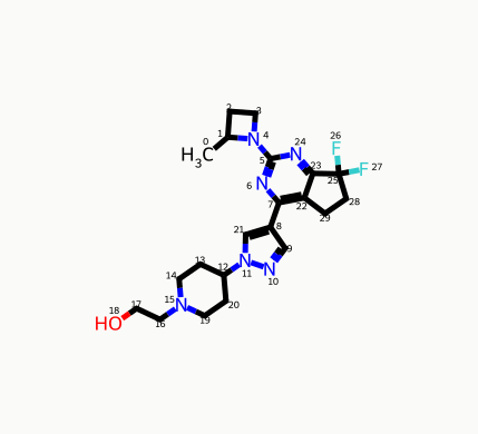 CC1CCN1c1nc(-c2cnn(C3CCN(CCO)CC3)c2)c2c(n1)C(F)(F)CC2